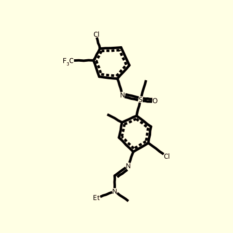 CCN(C)C=Nc1cc(C)c(S(C)(=O)=Nc2ccc(Cl)c(C(F)(F)F)c2)cc1Cl